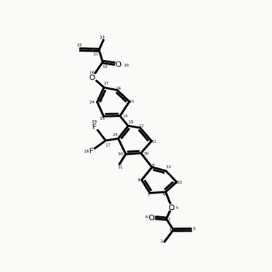 C=C(C)C(=O)Oc1ccc(-c2ccc(-c3ccc(OC(=O)C(=C)C)cc3)c(C(F)F)c2C)cc1